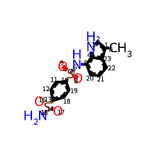 Cc1c[nH]c2c(NS(=O)(=O)c3ccc(S(N)(=O)=O)cc3)cccc12